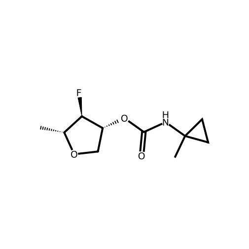 C[C@H]1OC[C@@H](OC(=O)NC2(C)CC2)[C@@H]1F